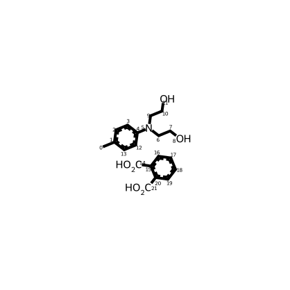 Cc1ccc(N(CCO)CCO)cc1.O=C(O)c1ccccc1C(=O)O